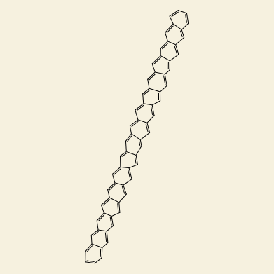 c1ccc2cc3cc4cc5cc6cc7cc8cc9cc%10cc%11cc%12cc%13cc%14cc%15cc%16ccccc%16cc%15cc%14cc%13cc%12cc%11cc%10cc9cc8cc7cc6cc5cc4cc3cc2c1